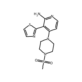 CS(=O)(=O)N1CCN(c2ccnc(N)c2-c2nccs2)CC1